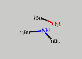 CCC(C)O.CCCCNCCCC